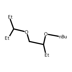 [CH2]CC(CC)OCC(CC)OCCCC